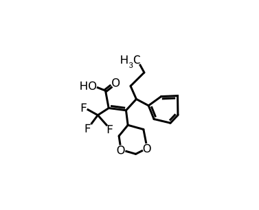 CCCC(C(=C(C(=O)O)C(F)(F)F)C1COCOC1)c1ccccc1